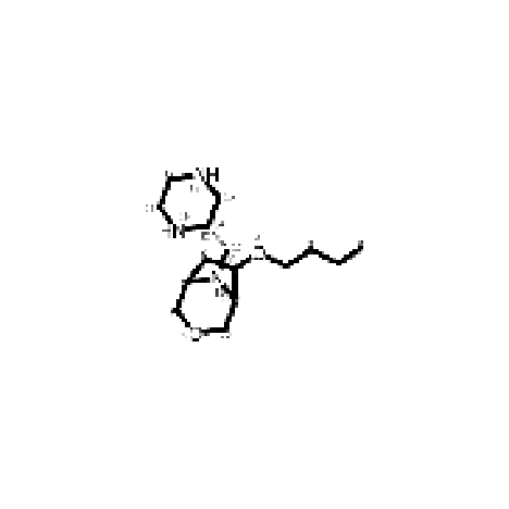 CCCCOC1CC2COCC1N2C[C@H]1CNCCN1